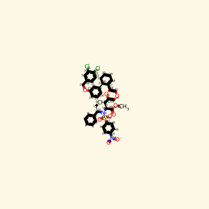 CC[C@@H](c1ccccc1)N([C@@H](CC1=COC=C(C2=CC=CC[C@@H]2c2cccc(OCc3ccc(Cl)c(Cl)c3)c2)O1)C(=O)OC)S(=O)(=O)c1ccc([N+](=O)[O-])cc1